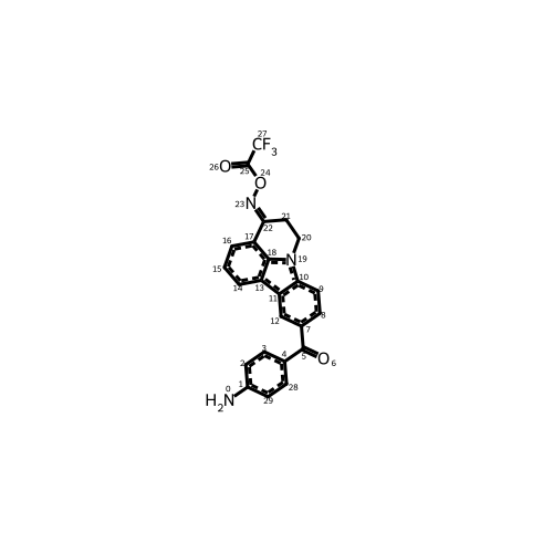 Nc1ccc(C(=O)c2ccc3c(c2)c2cccc4c2n3CC/C4=N\OC(=O)C(F)(F)F)cc1